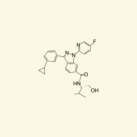 CC(C)[C@@H](CO)NC(=O)c1ccc2c(-c3cccc(C4CC4)c3)nn(-c3ccc(F)cn3)c2c1